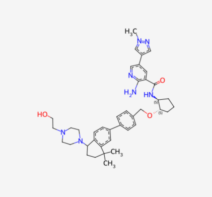 Cn1cc(-c2cnc(N)c(C(=O)N[C@H]3CCC[C@@H]3OCc3ccc(-c4ccc5c(c4)C(C)(C)CCC5N4CCN(CCO)CC4)cc3)c2)cn1